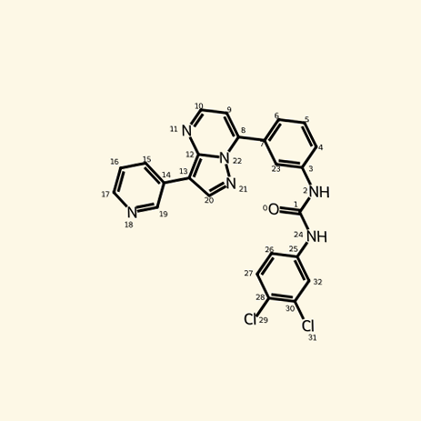 O=C(Nc1cccc(-c2ccnc3c(-c4cccnc4)cnn23)c1)Nc1ccc(Cl)c(Cl)c1